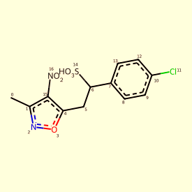 Cc1noc(CC(c2ccc(Cl)cc2)S(=O)(=O)O)c1[N+](=O)[O-]